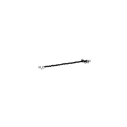 CCCCCCCCCCCCCCCCCCCCCCCCCCCCCCCCCCCCCCCCCCCCCC(=O)OCC(O)CO